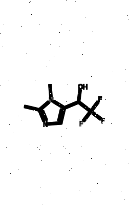 Cc1ncc(C(O)C(F)(F)F)n1C